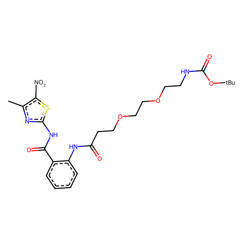 Cc1nc(NC(=O)c2ccccc2NC(=O)CCOCCOCCNC(=O)OC(C)(C)C)sc1[N+](=O)[O-]